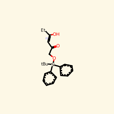 CC/C(O)=C/C(=O)CO[Si](c1ccccc1)(c1ccccc1)C(C)(C)C